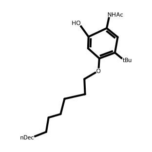 CCCCCCCCCCCCCCCCOc1cc(O)c(NC(C)=O)cc1C(C)(C)C